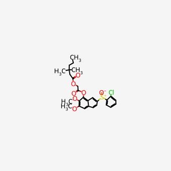 CCCC(C)(C)CC(=O)OCC(=O)Oc1c(OC)c(OC)cc2ccc([S+]([O-])c3ccccc3Cl)cc12